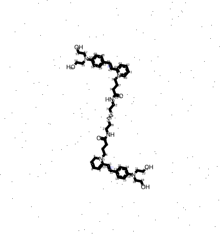 O=C(CCCN1CC=CC=C1/C=C/c1ccc(N(CCO)CCO)cc1)NCCSSCCNC(=O)CCC[n+]1ccccc1/C=C/c1ccc(N(CCO)CCO)cc1